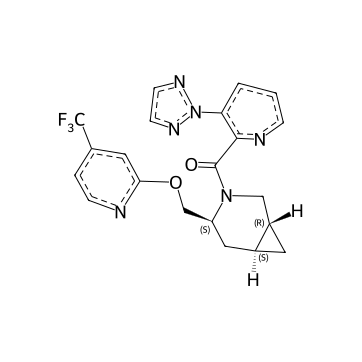 O=C(c1ncccc1-n1nccn1)N1C[C@@H]2C[C@H]2C[C@H]1COc1cc(C(F)(F)F)ccn1